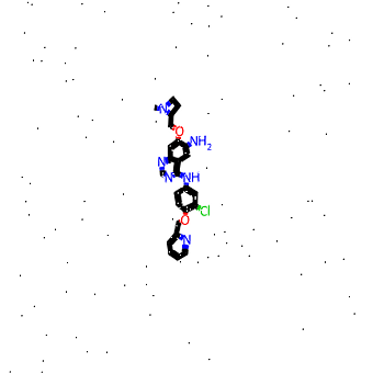 CN1CCC1COc1cc2ncnc(Nc3ccc(OCc4ccccn4)c(Cl)c3)c2cc1N